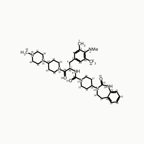 CNc1c(C)cc(C[C@@H](NC(=O)N2CCC(N3CCc4ccccc4NC3=O)CC2)C(=O)N2CCC(N3CCN(C)CC3)CC2)cc1C(F)(F)F